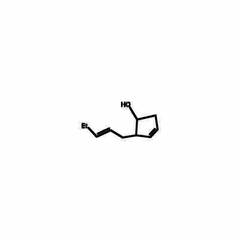 CCC=CCC1C=CCC1O